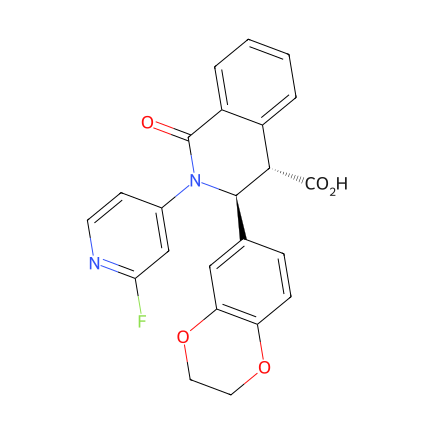 O=C(O)[C@H]1c2ccccc2C(=O)N(c2ccnc(F)c2)[C@@H]1c1ccc2c(c1)OCCO2